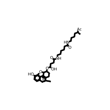 CC(=O)C(C)CCCCNC(=O)CCCCCNC(=O)CCC(O)OC1CCC2C3Cc4ccc(O)c5c4C2(CCN3C)C1O5